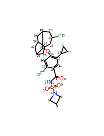 O=C(NS(=O)(=O)N1CCC1)c1cc(C2CC2)c(O[C@@H]2C3CC(F)CC4CC2CC4C3)cc1F